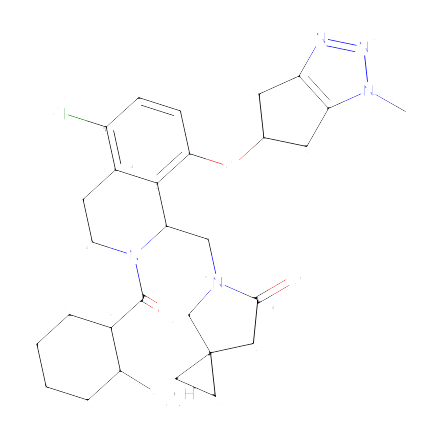 Cn1nnc2c1CC(Oc1ccc(Cl)c3c1C(CN1CC4(CC4)CC1=O)N(C(=O)C1CCCCC1C(=O)O)CC3)C2